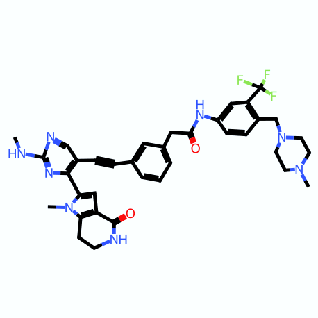 CNc1ncc(C#Cc2cccc(CC(=O)Nc3ccc(CN4CCN(C)CC4)c(C(F)(F)F)c3)c2)c(-c2cc3c(n2C)CCNC3=O)n1